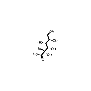 O=C(O)[C@@](O)(Br)[C@@H](O)[C@H](O)[C@H](O)CO